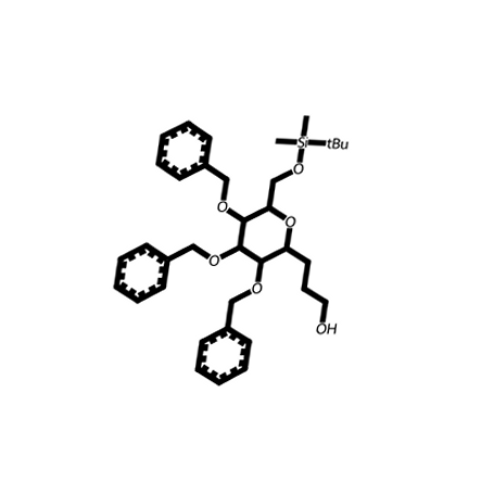 CC(C)(C)[Si](C)(C)OCC1OC(CCCO)C(OCc2ccccc2)C(OCc2ccccc2)C1OCc1ccccc1